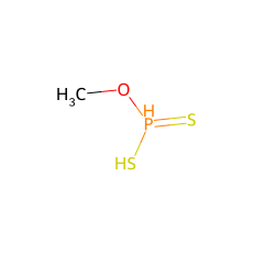 CO[PH](=S)S